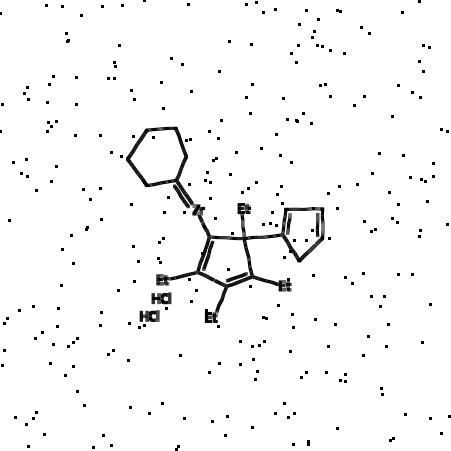 CCC1=C(CC)C(CC)(C2=CC=CC2)[C]([Zr]=[C]2CCCCC2)=C1CC.Cl.Cl